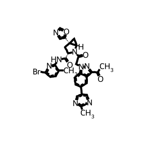 CC(=O)c1nn(CC(=O)N2[C@H](C(=O)Nc3nc(Br)ccc3C)C[C@@]3(c4cnco4)C[C@@H]23)c2ccc(-c3cnc(C)nc3)cc12